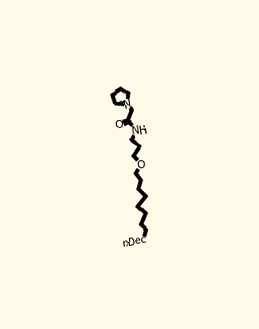 CCCCCCCCCCCCCCCCCCOCCCNC(=O)CN1CCCC1